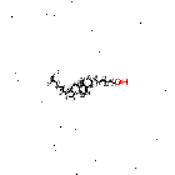 CC(C)CCC[C@@H](C)[C@H]1CCC2C3CC=C4C[C@@H]([CH]CCCCCO)CC[C@]4(C)C3CC[C@@]21C